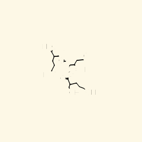 CCCCC(CC)C(=O)OOC(OOC(=O)C(CC)CCCC)C(C)CCC